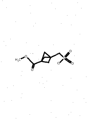 COC(=O)C12CC(CS(=O)(=O)Cl)(C1)C2